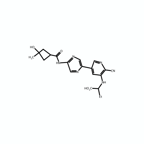 CCC(Nc1cc(-c2cnc(NC(=O)C3CC(C)(O)C3)cn2)cnc1C#N)C(=O)O